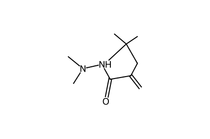 C=C(CC(C)(C)C)C(=O)NN(C)C